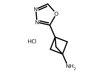 Cl.NC12CC(c3nnco3)(C1)C2